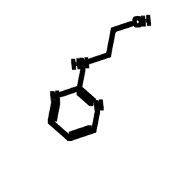 OCCNc1ncccn1